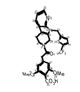 COc1cc(CC(=O)N2CCc3c(n(Cc4ccc(C(F)(F)F)s4)c4ncccc34)C2)cc(OC)c1C(=O)O